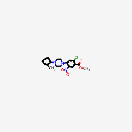 COC(=O)c1cc([N+](=O)[O-])c(N2CCN(c3ccccc3C)CC2)cc1Cl